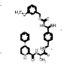 COc1cccc(COC(=O)NC(=N)c2ccc(CNC(=O)[C@H](C)NC(=O)C3C[C@@H](c4ccccc4)CCN3)cc2)c1